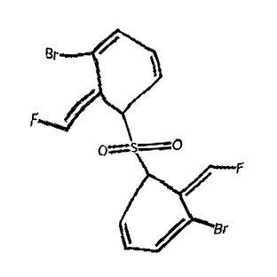 O=S(=O)(C1C=CC=C(Br)C1=CF)C1C=CC=C(Br)C1=CF